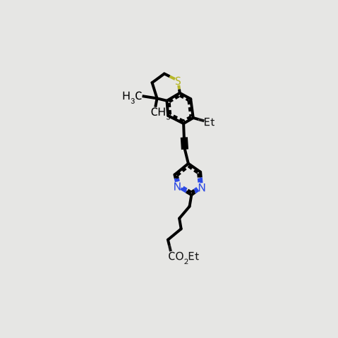 CCOC(=O)CCCCc1ncc(C#Cc2cc3c(cc2CC)SCCC3(C)C)cn1